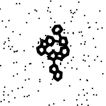 c1ccc(-c2ccccc2-c2ccc3oc4cccc(-c5nc(-c6ccc7ccccc7c6)c6sc7ccccc7c6n5)c4c3c2)cc1